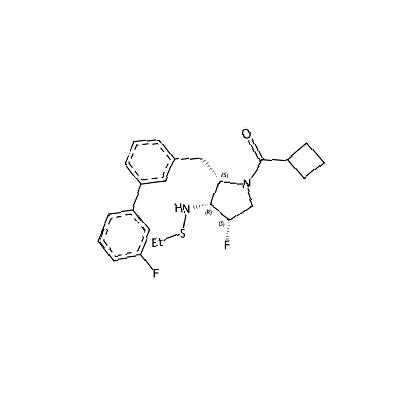 CCSN[C@H]1[C@@H](F)CN(C(=O)C2CCC2)[C@H]1Cc1cccc(-c2cccc(F)c2)c1